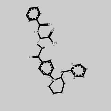 O=C(NC[C@H](NC(=O)c1ccccc1)C(=O)O)c1ccc(N2CCCCC2Nc2ncccn2)cc1